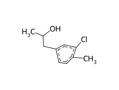 Cc1ccc(CC(C)O)cc1Cl